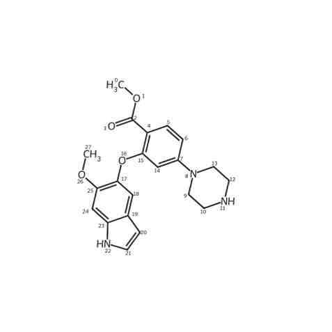 COC(=O)c1ccc(N2CCNCC2)cc1Oc1cc2cc[nH]c2cc1OC